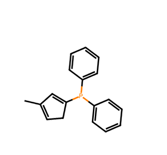 CC1=CCC(P(c2ccccc2)c2ccccc2)=C1